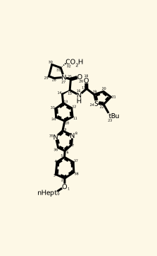 CCCCCCCOc1ccc(-c2cnc(-c3ccc(C[C@H](NC(=O)c4ccc(C(C)(C)C)s4)C(=O)N4CCC[C@@H]4C(=O)O)cc3)nc2)cc1